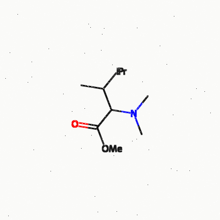 COC(=O)C(C(C)C(C)C)N(C)C